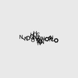 CCc1c(NC(=O)OC2CCN(CC#N)CC2)cn2ncnc(Nc3ccc4c(cnn4Cc4ccccc4)c3)c12